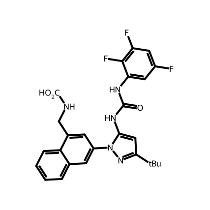 CC(C)(C)c1cc(NC(=O)Nc2cc(F)cc(F)c2F)n(-c2cc(CNC(=O)O)c3ccccc3c2)n1